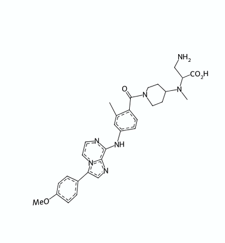 COc1ccc(-c2cnc3c(Nc4ccc(C(=O)N5CCC(N(C)C(CN)C(=O)O)CC5)c(C)c4)nccn23)cc1